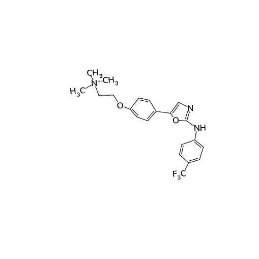 C[N+](C)(C)CCOc1ccc(-c2cnc(Nc3ccc(C(F)(F)F)cc3)o2)cc1